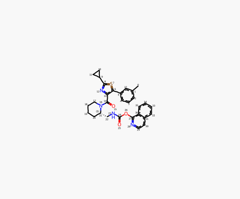 Cc1cccc(-c2sc(C3CC3)nc2C(=O)N2CCCC[C@H]2CNC(=O)Oc2nccc3ccccc23)c1